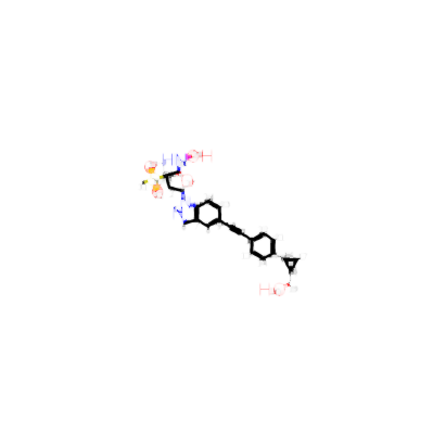 C[C@@](CCn1ncc2cc(C#Cc3ccc([C@H]4C[C@@H]4CO)cc3)ccc21)(C(=O)NO)S(C)(=O)=O